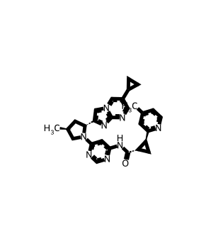 Cc1ccnc([C@H]2C[C@@H]2C(=O)Nc2cc(N3C[C@@H](C)C[C@@H]3c3cn4cc(C5CC5)cnc4n3)ncn2)c1